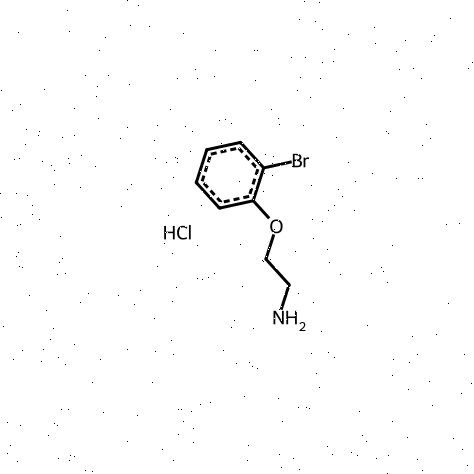 Cl.NCCOc1ccccc1Br